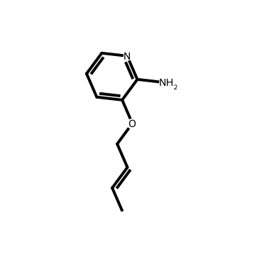 C/C=C/COc1cccnc1N